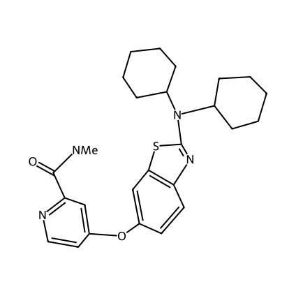 CNC(=O)c1cc(Oc2ccc3nc(N(C4CCCCC4)C4CCCCC4)sc3c2)ccn1